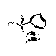 C#C.C#C.O=S(=O)(O)c1ccccc1